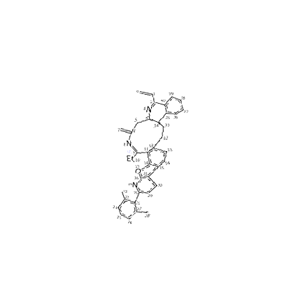 C=CC1=NC2CC(=C)/N=C(/CC)c3c(ccc4c3oc3nc(-c5c(C)cccc5C)ccc34)CCC2c2ccccc21